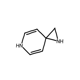 C1=CC2(C=CN1)CN2